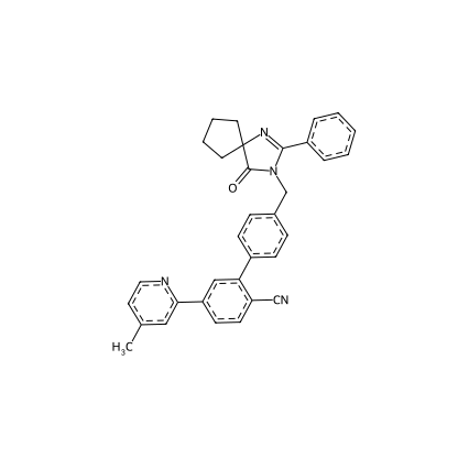 Cc1ccnc(-c2ccc(C#N)c(-c3ccc(CN4C(=O)C5(CCCC5)N=C4c4ccccc4)cc3)c2)c1